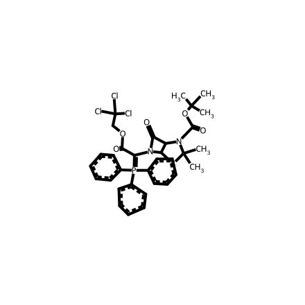 CC(C)(C)OC(=O)N1C2C(=O)N(C(C(=O)OCC(Cl)(Cl)Cl)=P(c3ccccc3)(c3ccccc3)c3ccccc3)C2SC1(C)C